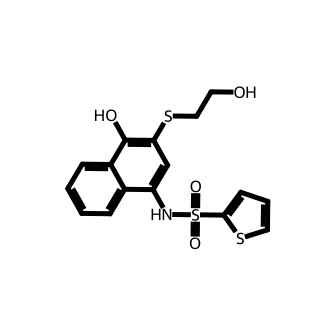 O=S(=O)(Nc1cc(SCCO)c(O)c2ccccc12)c1cccs1